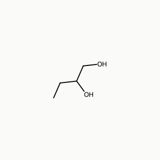 CCC(O)CO